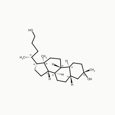 C[C@H](CCCO)[C@H]1CC[C@H]2[C@@H]3CC[C@H]4C[C@@](C)(O)CC[C@@H]4[C@H]3CC[C@]12C